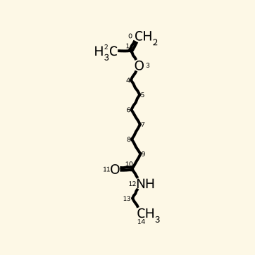 C=C(C)OCCCCCCC(=O)NCC